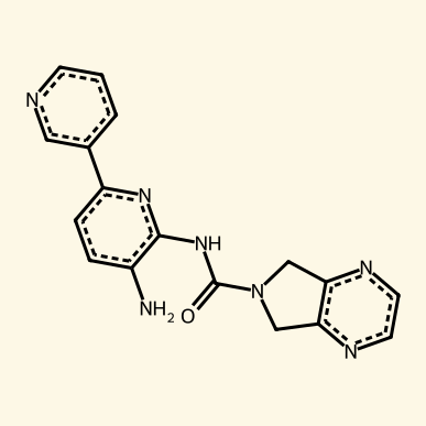 Nc1ccc(-c2cccnc2)nc1NC(=O)N1Cc2nccnc2C1